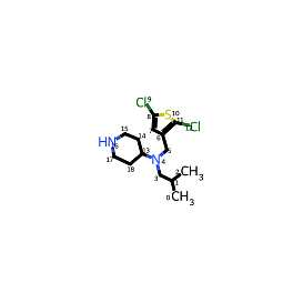 CC(C)CN(Cc1cc(Cl)sc1Cl)C1CCNCC1